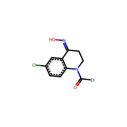 CCC(=O)N1CC/C(=N/O)c2cc(Cl)ccc21